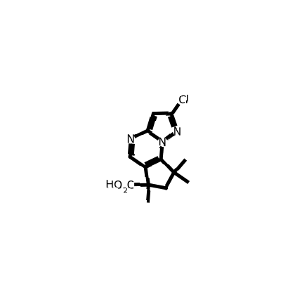 CC1(C)CC(C)(C(=O)O)c2cnc3cc(Cl)nn3c21